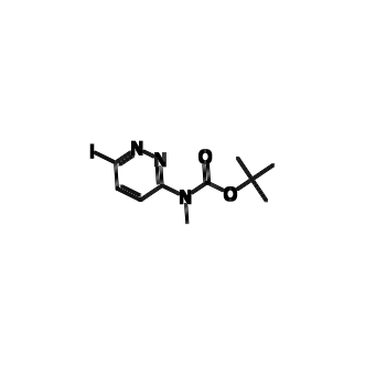 CN(C(=O)OC(C)(C)C)c1ccc(I)nn1